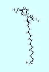 CCCCCCCCCCCCC/C=C/C(OC)[C@@H]1COC(C)=N1